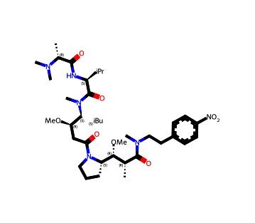 CC[C@H](C)[C@@H]([C@@H](CC(=O)N1CCC[C@H]1[C@H](OC)[C@@H](C)C(=O)N(C)CCc1ccc([N+](=O)[O-])cc1)OC)N(C)C(=O)[C@@H](NC(=O)[C@@H](C)N(C)C)C(C)C